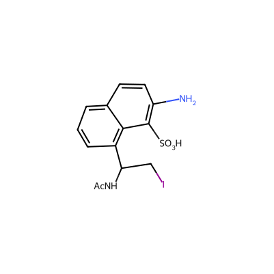 CC(=O)NC(CI)c1cccc2ccc(N)c(S(=O)(=O)O)c12